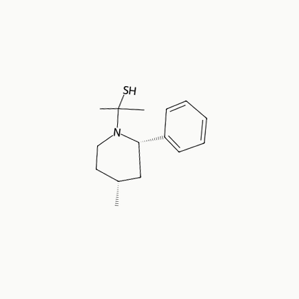 C[C@@H]1CCN(C(C)(C)S)[C@H](c2ccccc2)C1